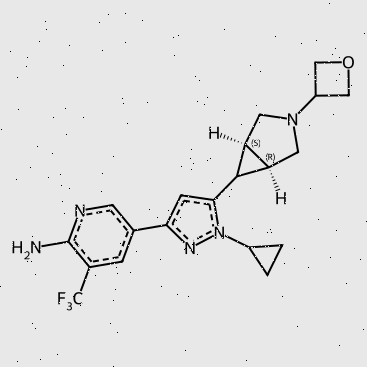 Nc1ncc(-c2cc(C3[C@H]4CN(C5COC5)C[C@@H]34)n(C3CC3)n2)cc1C(F)(F)F